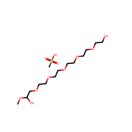 COC(O)COCCOCCOCCOCCOCCO.CS(=O)(=O)O